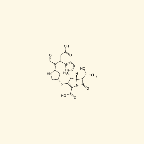 C[C@@H](O)[C@H]1C(=O)N2C(C(=O)O)=C(S[C@@H]3CN[C@@H](N(C=O)C(CC(=O)O)c4ccco4)C3)[C@H](C)[C@H]12